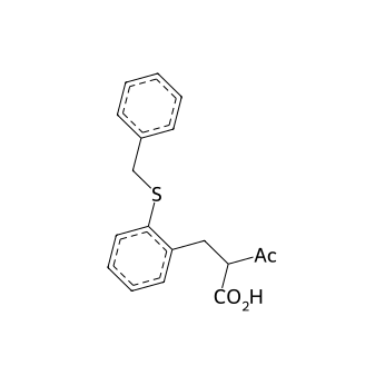 CC(=O)C(Cc1ccccc1SCc1ccccc1)C(=O)O